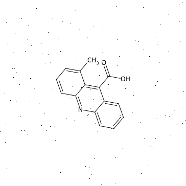 Cc1cccc2nc3ccccc3c(C(=O)O)c12